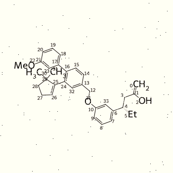 C=C(O)C[C@H](CC)c1cccc(OCc2ccc(-c3cccc(OC)c3)c(C3=CCCC3(C)C)c2)c1